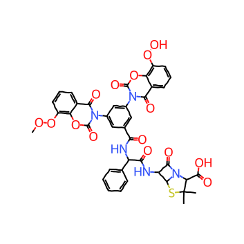 COOc1cccc2c(=O)n(-c3cc(C(=O)NC(C(=O)NC4C(=O)N5C4SC(C)(C)C5C(=O)O)c4ccccc4)cc(-n4c(=O)oc5c(OO)cccc5c4=O)c3)c(=O)oc12